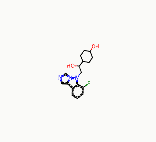 OC1CCC(C(O)Cn2c3c(F)cccc3c3cncn32)CC1